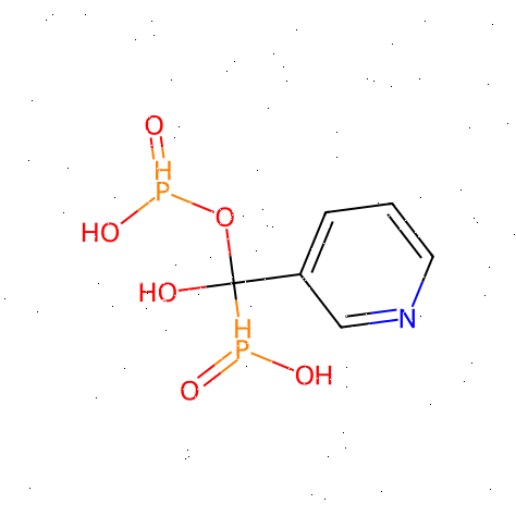 O=[PH](O)OC(O)(c1cccnc1)[PH](=O)O